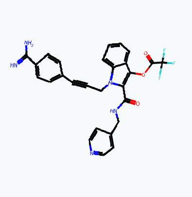 N=C(N)c1ccc(C#CCn2c(C(=O)NCc3ccncc3)c(OC(=O)C(F)(F)F)c3ccccc32)cc1